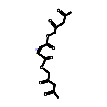 CC(=O)CC(=O)COC(=O)/C=C\C(=O)OCC(=O)CC(C)=O